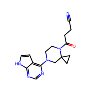 N#CCCC(=O)N1CCN(c2ncnc3[nH]ccc23)CC12CC2